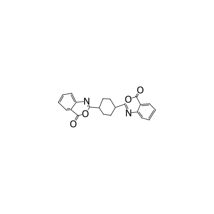 O=c1oc(C2CCC(c3nc4ccccc4c(=O)o3)CC2)nc2ccccc12